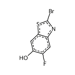 Oc1cc2sc(Br)nc2cc1F